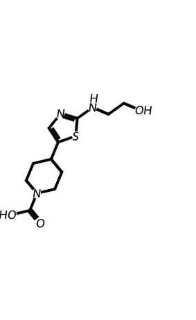 O=C(O)N1CCC(c2cnc(NCCO)s2)CC1